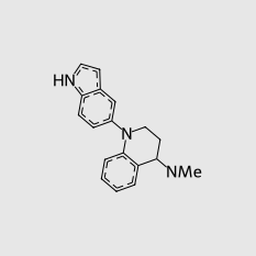 CNC1CCN(c2ccc3[nH]ccc3c2)c2ccccc21